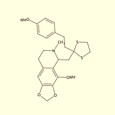 COc1ccc(CCC2(CC3c4c(cc5c(c4OC)OCO5)CCN3C)SCCS2)cc1